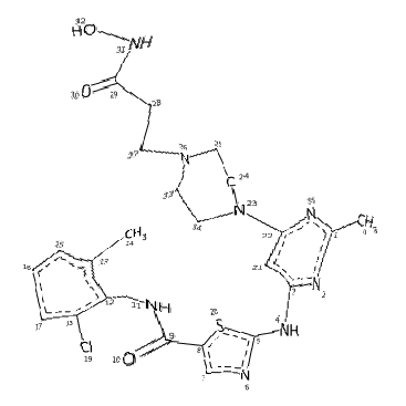 Cc1nc(Nc2ncc(C(=O)Nc3c(C)cccc3Cl)s2)cc(N2CCN(CCC(=O)NO)CC2)n1